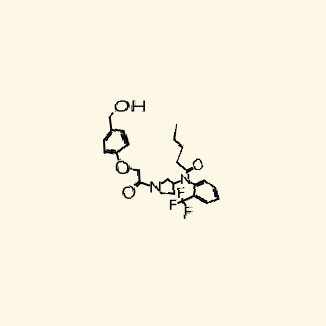 CCCCC(=O)N(c1ccccc1C(F)(F)F)C1CCN(C(=O)COc2ccc(CO)cc2)C1